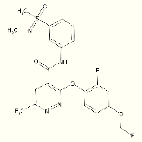 CN=S(C)(=O)c1cccc(NC(=O)c2cc(C(F)(F)F)nnc2Oc2ccc(OCF)cc2F)c1